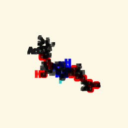 CC(=O)Oc1cc(C)cc(C)c1C(C)(C)CC(=O)OC[C@@]1(C)O[C@@H](n2cnc3c(NC(=O)OC(C)(C)CC(=O)OCc4oc(=O)oc4C)nc(F)nc32)C[C@@H]1O